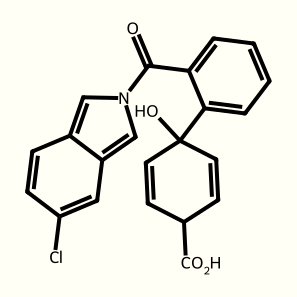 O=C(O)C1C=CC(O)(c2ccccc2C(=O)n2cc3ccc(Cl)cc3c2)C=C1